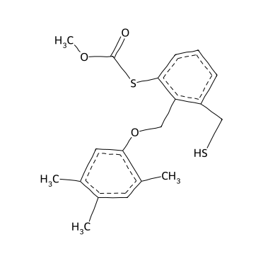 COC(=O)Sc1cccc(CS)c1COc1cc(C)c(C)cc1C